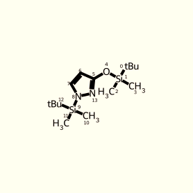 CC(C)(C)[Si](C)(C)Oc1ccn([Si](C)(C)C(C)(C)C)n1